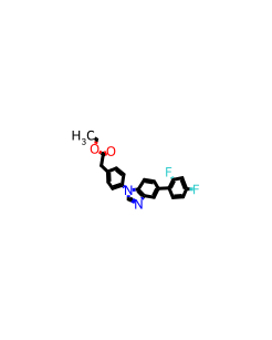 CCOC(=O)Cc1ccc(-n2cnc3cc(-c4ccc(F)cc4F)ccc32)cc1